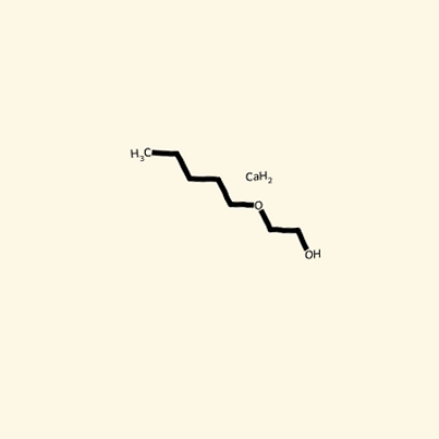 CCCCCOCCO.[CaH2]